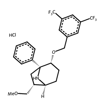 COC[C@@H]1C[C@]2(c3ccccc3)N[C@H]1CC[C@H]2OCc1cc(C(F)(F)F)cc(C(F)(F)F)c1.Cl